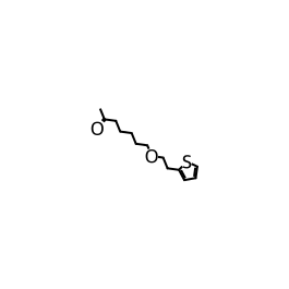 CC(=O)CCCCCOCCc1cccs1